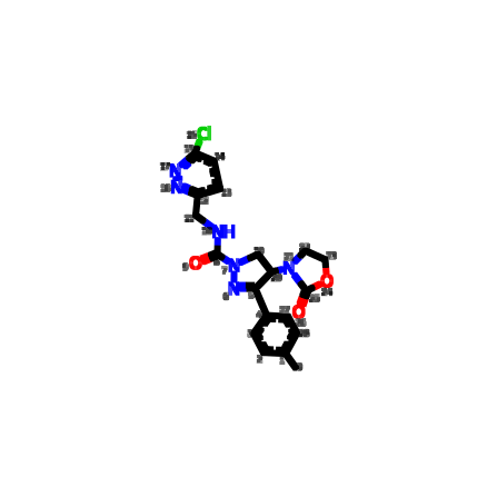 Cc1ccc(C2=NN(C(=O)NCc3ccc(Cl)nn3)CC2N2CCOC2=O)cc1